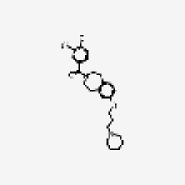 O=C(c1ccc(Cl)c(Cl)c1)N1CCc2ccc(OCCCN3CCCCC3)cc2CC1